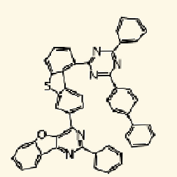 c1ccc(-c2ccc(-c3nc(-c4ccccc4)nc(-c4cccc5sc6cc(-c7nc(-c8ccccc8)nc8c7oc7ccccc78)ccc6c45)n3)cc2)cc1